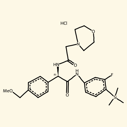 COCc1ccc([C@@H](NC(=O)CN2CCOCC2)C(=O)Nc2ccc([Si](C)(C)C)c(F)c2)cc1.Cl